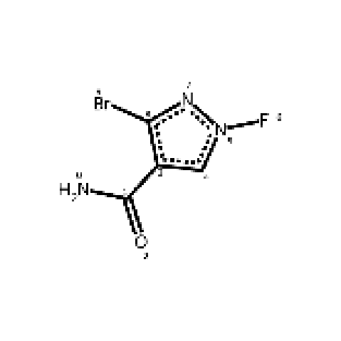 NC(=O)c1cn(F)nc1Br